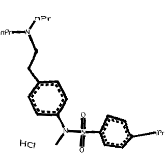 CCCN(CCC)CCc1ccc(N(C)S(=O)(=O)c2ccc(C(C)C)cc2)cc1.Cl